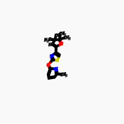 Cc1cccc(Oc2nc(C3BC(C)(C)C(C)(C)O3)cs2)n1